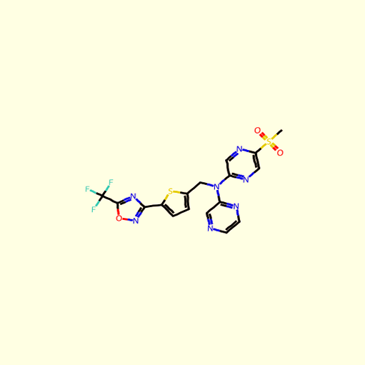 CS(=O)(=O)c1cnc(N(Cc2ccc(-c3noc(C(F)(F)F)n3)s2)c2cnccn2)cn1